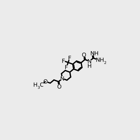 COCCC(=O)N1CCC(c2ccc(C(=O)NC(=N)N)cc2C(F)(F)F)CC1